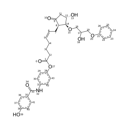 O=C(CCC/C=C\C[C@H]1C(=O)C[C@H](O)[C@H]1OCC(O)COc1ccccc1)Oc1ccc(NC(=O)c2ccc(O)cc2)cc1